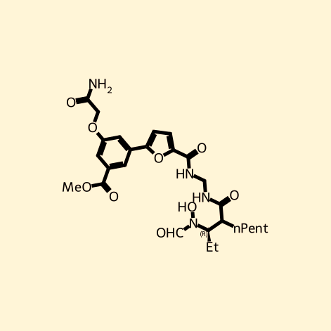 CCCCCC(C(=O)NCNC(=O)c1ccc(-c2cc(OCC(N)=O)cc(C(=O)OC)c2)o1)[C@@H](CC)N(O)C=O